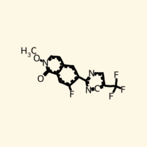 COn1ccc2cc(-c3ncc(C(F)(F)F)cn3)c(F)cc2c1=O